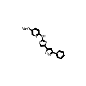 COc1ccc(Nc2nc(-c3cc(-c4ccccc4)no3)cs2)nc1